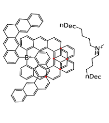 CCCCCCCCCCCCCC[NH+](C)CCCCCCCCCCCCCC.c1ccc2cc3c(ccc4cc5cccc([B-](c6cccc7cc8ccc9cc%10ccccc%10cc9c8cc67)(c6cccc7cc8ccc9cc%10ccccc%10cc9c8cc67)c6cccc7cc8ccc9cc%10ccccc%10cc9c8cc67)c5cc43)cc2c1